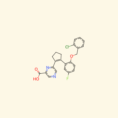 O=C(O)c1cncc(C2=C(c3cc(F)ccc3OCc3ccccc3Cl)CCC2)n1